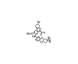 C=CC(=O)Nc1cc(Nc2ncc(Cl)c(O[C@H]3CCCN(S(C)(=O)=O)C3)n2)c(OC)cc1N1CCC(N(C)C)CC1